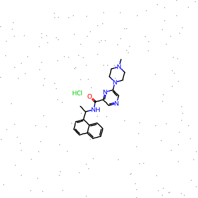 CC(NC(=O)c1cncc(N2CCN(C)CC2)n1)c1cccc2ccccc12.Cl